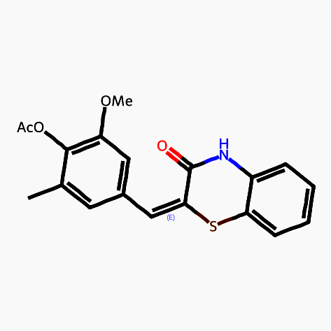 COc1cc(/C=C2/Sc3ccccc3NC2=O)cc(C)c1OC(C)=O